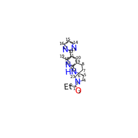 CCC(=O)N1CC[C@@]2(CCc3cc(-c4ncccn4)c(C)nc3N2)C1